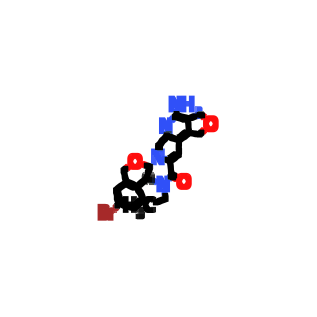 CCN(C(=O)c1cc2c3c(c(N)nc2cn1)COC3)[C@@H]1COCc2cc(Br)ccc21